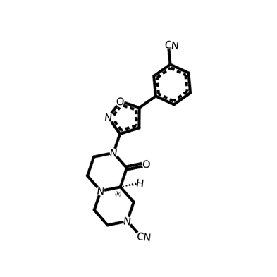 N#Cc1cccc(-c2cc(N3CCN4CCN(C#N)C[C@@H]4C3=O)no2)c1